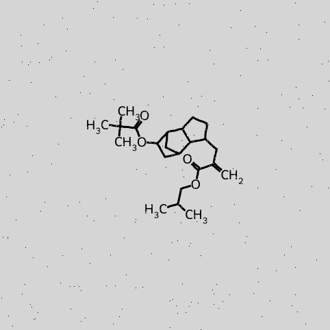 C=C(CC1CCC2C3CC(CC3OC(=O)C(C)(C)C)C12)C(=O)OCC(C)C